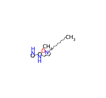 CCCCCCCCCCC1=NC(=Cc2[nH]c(-c3ccc[nH]3)cc2OCC)C=C1